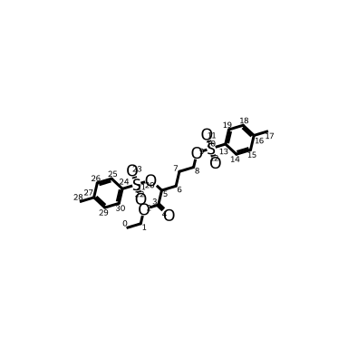 CCOC(=O)C(CCCOS(=O)(=O)c1ccc(C)cc1)OS(=O)(=O)c1ccc(C)cc1